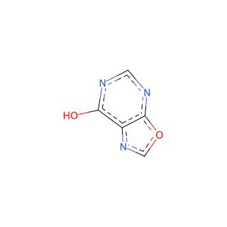 Oc1ncnc2ocnc12